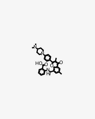 Cc1cc([C@@H](C)Nc2ccccc2C(=O)O)c2oc(-c3ccc(N4CCC(N(C)C)CC4)cc3)c(C)c(=O)c2c1